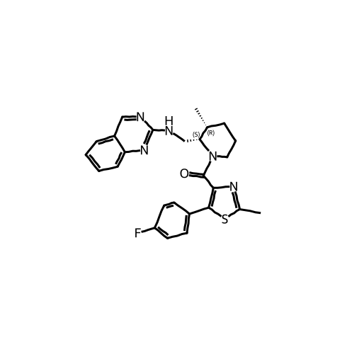 Cc1nc(C(=O)N2CCC[C@@H](C)[C@H]2CNc2ncc3ccccc3n2)c(-c2ccc(F)cc2)s1